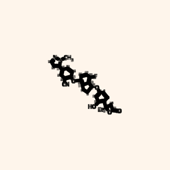 CC[C@]1(c2ccc(O[C@@H]3CCc4c(Oc5ccc(-c6ccnn6C)cc5C#N)ccc(F)c43)cc2O)CC(=O)O1